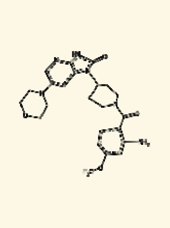 Nc1cc(OC(F)(F)F)ccc1C(=O)N1CCC(n2c(=O)[nH]c3ncc(N4CCOCC4)cc32)CC1